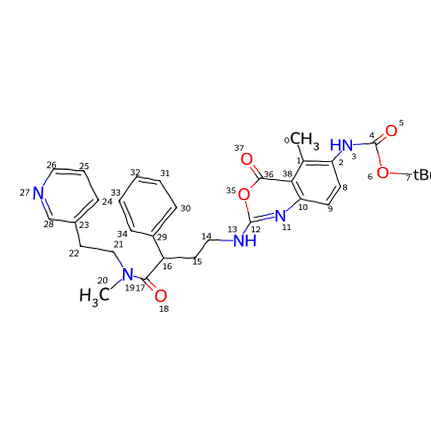 Cc1c(NC(=O)OC(C)(C)C)ccc2nc(NCCC(C(=O)N(C)CCc3cccnc3)c3ccccc3)oc(=O)c12